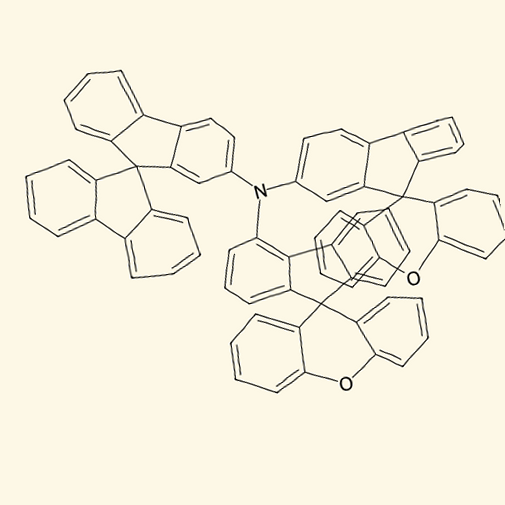 c1ccc2c(c1)Oc1ccccc1C21c2ccccc2-c2ccc(N(c3ccc4c(c3)C3(c5ccccc5-c5ccccc53)c3ccccc3-4)c3cccc4c3-c3ccccc3C43c4ccccc4Oc4ccccc43)cc21